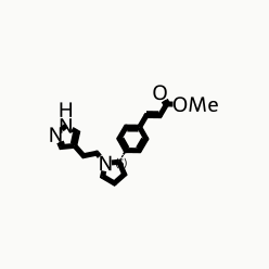 COC(=O)C=Cc1ccc([C@@H]2CCCN2CCc2cn[nH]c2)cc1